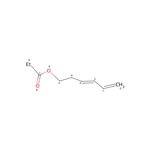 C=CC=CCCOC(=O)CC